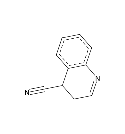 N#CC1CC=Nc2ccccc21